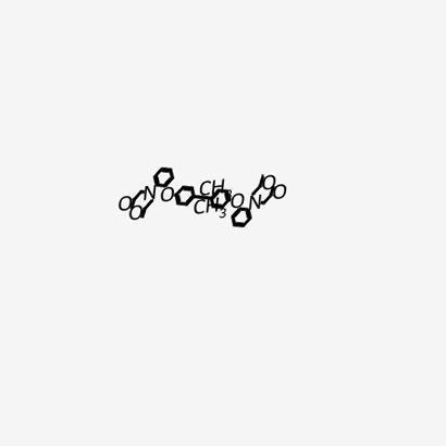 CC(C)(c1ccc(Oc2ccccc2N(CC2CO2)CC2CO2)cc1)c1ccc(Oc2ccccc2N(CC2CO2)CC2CO2)cc1